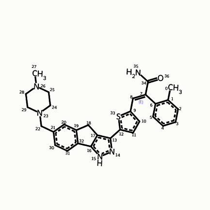 Cc1ccccc1/C(=C\c1ccc(-c2n[nH]c3c2Cc2cc(CN4CCN(C)CC4)ccc2-3)s1)C(N)=O